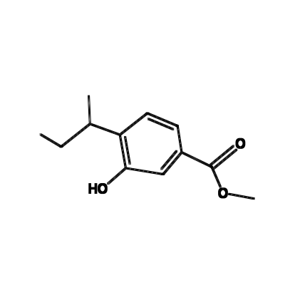 CCC(C)c1ccc(C(=O)OC)cc1O